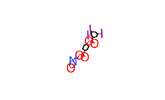 O=C(OCCN1CCOCC1)c1ccc(OC(=O)c2cc(I)cc(I)c2I)cc1